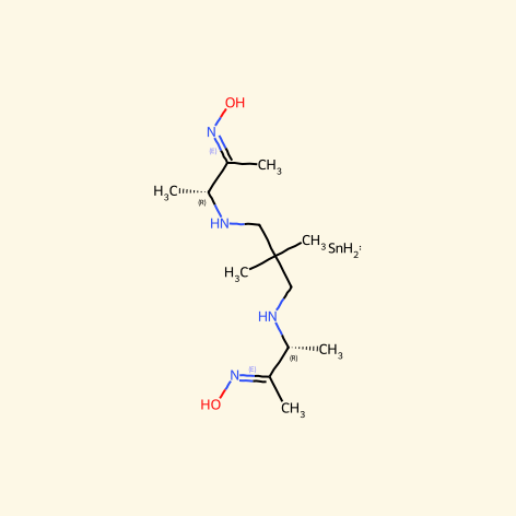 C/C(=N\O)[C@@H](C)NCC(C)(C)CN[C@H](C)/C(C)=N/O.[SnH2]